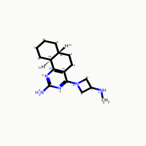 CNC1CN(c2nc(N)nc3c2CC[C@H]2CCCC[C@H]32)C1